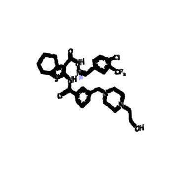 O=C(Nc1sc2c(c1C(=O)N/N=C\c1ccc(Cl)c(C(F)(F)F)c1)CCCC2)c1cccc(CN2CCN(CCO)CC2)c1